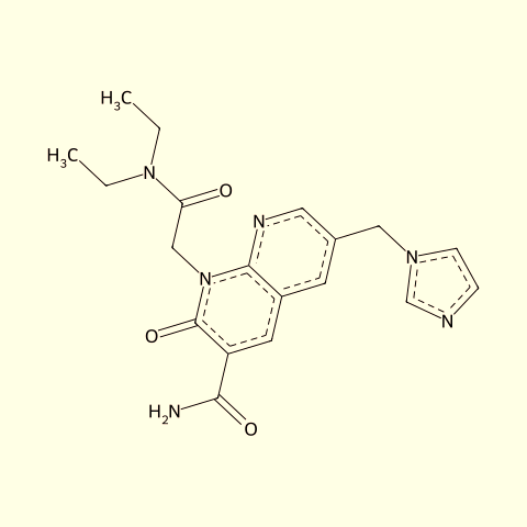 CCN(CC)C(=O)Cn1c(=O)c(C(N)=O)cc2cc(Cn3ccnc3)cnc21